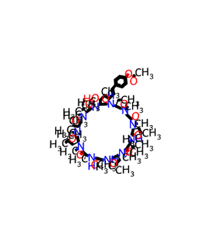 CC[C@@H]1NC(=O)[C@H]([C@H](O)[C@H](C)C/C=C/c2ccc(OC(C)=O)cc2)N(C)C(=O)[C@H](C(C)C)N(C)C(=O)C(C(C)C)N(C)C(=O)[C@H](CC(C)C)N(C)C(=O)[C@@H](C)NC(=O)[C@H](C)NC(=O)[C@H](CC(C)C)N(C)C(=O)[C@H](C(C)C)NC(=O)[C@H](CC(C)C)N(C)C(=O)CN(C)C1=O